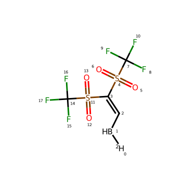 [2H]BC=C(S(=O)(=O)C(F)(F)F)S(=O)(=O)C(F)(F)F